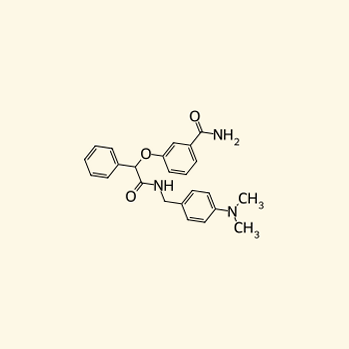 CN(C)c1ccc(CNC(=O)C(Oc2cccc(C(N)=O)c2)c2ccccc2)cc1